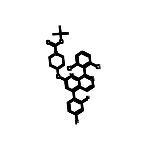 CC(C)(C)OC(=O)N1CCC(Oc2cc(-c3ccc(F)cc3F)c3ccnc(-c4c(Cl)cccc4Cl)c3n2)CC1